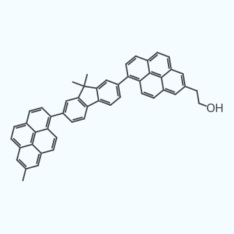 Cc1cc2ccc3ccc(-c4ccc5c(c4)C(C)(C)c4cc(-c6ccc7ccc8cc(CCO)cc9ccc6c7c89)ccc4-5)c4ccc(c1)c2c34